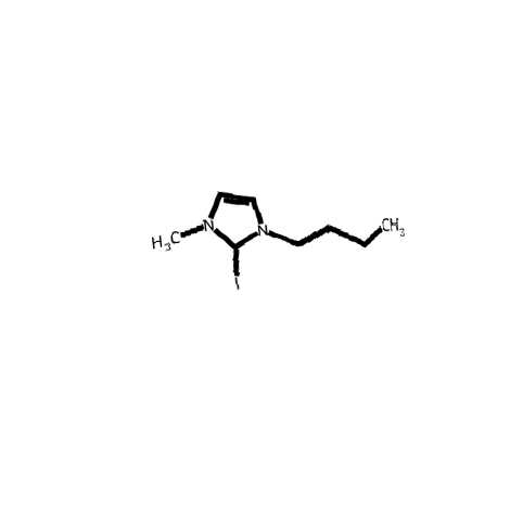 CCCCN1C=CN(C)C1I